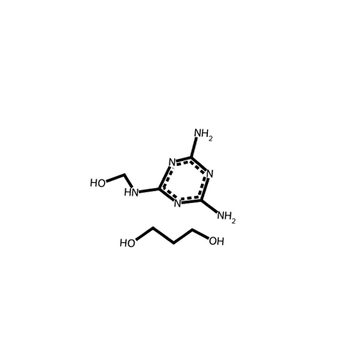 Nc1nc(N)nc(NCO)n1.OCCCO